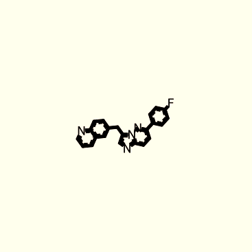 Fc1ccc(-c2ccc3ncc(Cc4ccc5ncccc5c4)n3n2)cc1